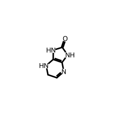 O=c1[nH]c2c([nH]1)NCC=N2